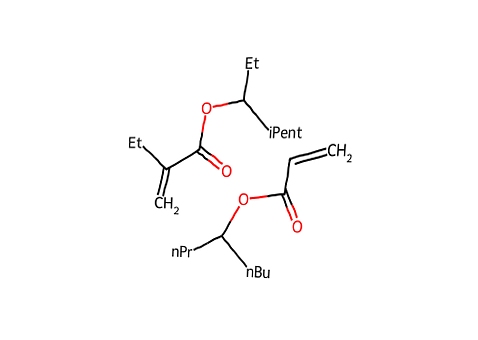 C=C(CC)C(=O)OC(CC)C(C)CCC.C=CC(=O)OC(CCC)CCCC